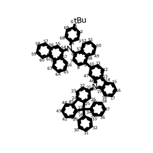 CC(C)(C)c1ccc(N(c2ccc(-c3ccc4c5ccccc5n(-c5ccc6c(c5)C(c5ccccc5)(c5ccccc5)c5ccccc5-6)c4c3)c3ccccc23)c2cc3ccccc3c3ccccc23)cc1